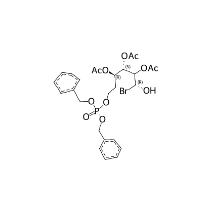 CC(=O)OC([C@H](O)Br)[C@@H](OC(C)=O)[C@@H](CCOP(=O)(OCc1ccccc1)OCc1ccccc1)OC(C)=O